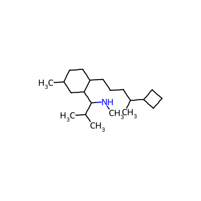 CNC(C(C)C)C1CC(C)CCC1CCCC(C)C1CCC1